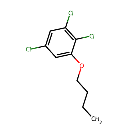 CCCCOc1cc(Cl)cc(Cl)c1Cl